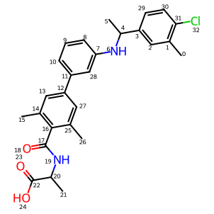 Cc1cc(C(C)Nc2cccc(-c3cc(C)c(C(=O)NC(C)C(=O)O)c(C)c3)c2)ccc1Cl